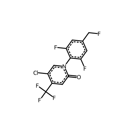 O=c1cc(C(F)(F)F)c(Cl)cn1-c1c(F)cc(CF)cc1F